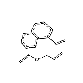 C=CCOC=C.C=Cc1cccc2ccccc12